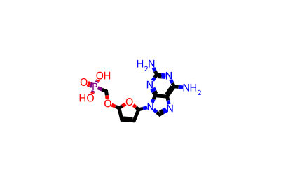 Nc1nc(N)c2ncn(C3C=CC(OCP(=O)(O)O)O3)c2n1